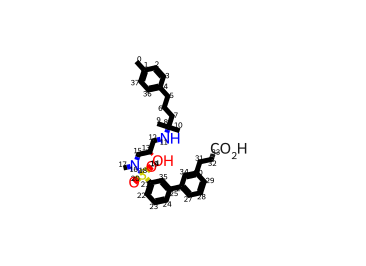 Cc1ccc(CCCC(C)(C)NC[C@@H](O)CN(C)S(=O)(=O)c2cccc(-c3cccc(CCC(=O)O)c3)c2)cc1